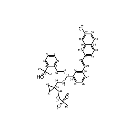 CC(C)(O)c1ccccc1CC[C@@H](SCC1(COS(C)(=O)=O)CC1)c1cccc(/C=C/c2ccc3ccc(Cl)cc3n2)c1